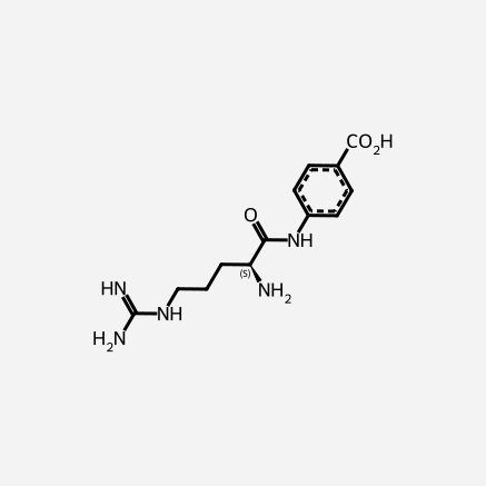 N=C(N)NCCC[C@H](N)C(=O)Nc1ccc(C(=O)O)cc1